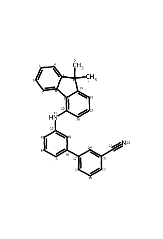 CC1(C)c2ccccc2-c2c(Nc3cccc(-c4cccc(C#N)c4)c3)cccc21